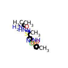 Cc1cccc(S(=O)(=O)Nc2cc(-c3sc(NC(=O)[C@@H](N)C(C)C)nc3C)cnc2Cl)c1